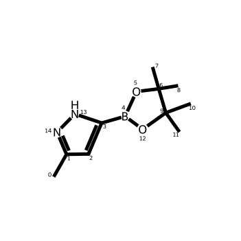 Cc1cc(B2OC(C)(C)C(C)(C)O2)[nH]n1